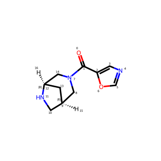 O=C(c1cnco1)N1C[C@H]2CN[C@H](C2)C1